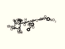 CC(C)(C)OC(=O)CN1CCN(CC(=O)OC(C)(C)C)CCN(C(CCC(=O)NCCN(CCOCCOCCOCCNC(=O)c2ccc([N+](=O)[O-])cc2)C(=O)c2cccc(=O)n2OCc2ccccc2)C(=O)OC(C)(C)C)CCN(CC(=O)OC(C)(C)C)CC1